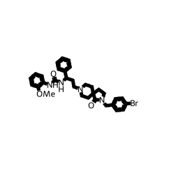 COc1ccccc1NC(=O)NC(CCN1CCC2(CC1)CCN(Cc1ccc(Br)cc1)C2=O)c1ccccc1